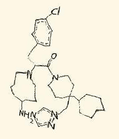 NC1CCCN([C@H](Cc2ccc(Cl)cc2)C(=O)N2CCC(Cn3cncn3)(C3CCCCC3)CC2)CC1